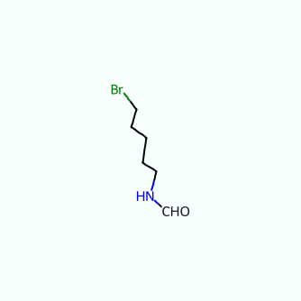 O=CNCCCCCBr